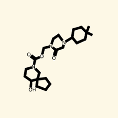 CC1(C)CCC(N2CCN(COC(=O)N3CCC(O)C4(CCCC4)C3)C(=O)C2)CC1